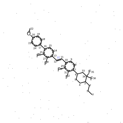 CCCC1CCC(c2ccc(/C=C/c3ccc(-c4ccc(OC)cc4)c(F)c3F)c(F)c2F)CC1(F)F